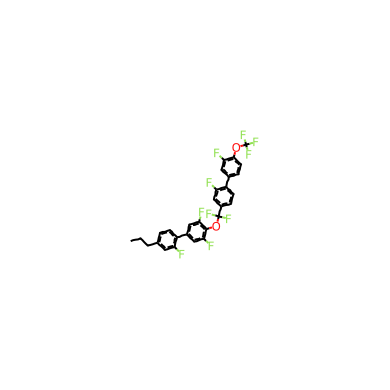 CCCc1ccc(-c2cc(F)c(OC(F)(F)c3ccc(-c4ccc(OC(F)(F)F)c(F)c4)c(F)c3)c(F)c2)c(F)c1